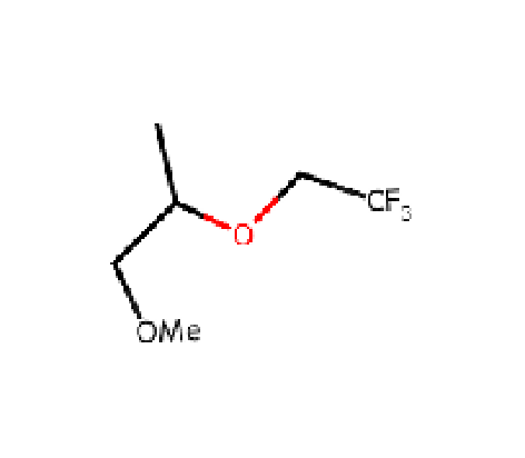 COCC(C)OCC(F)(F)F